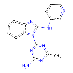 Cc1nc(N)nc(-n2c(Nc3cccnc3)nc3ccccc32)n1